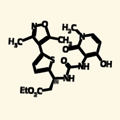 CCOC(=O)C[C@H](NC(=O)Nc1c(O)ccn(C)c1=O)c1ccc(-c2c(C)noc2C)s1